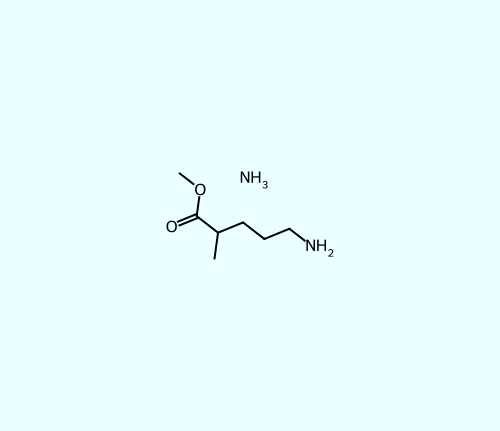 COC(=O)C(C)CCCN.N